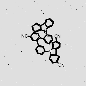 N#Cc1ccc(-c2ccccc2-n2c3ccccc3c3ccccc32)c(-c2cccc(-n3c4ccc(C#N)cc4c4ccc(C#N)cc43)c2)c1